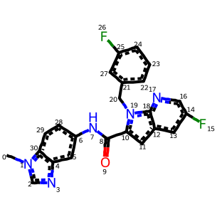 Cn1cnc2cc(NC(=O)c3cc4cc(F)cnc4n3Cc3cccc(F)c3)ccc21